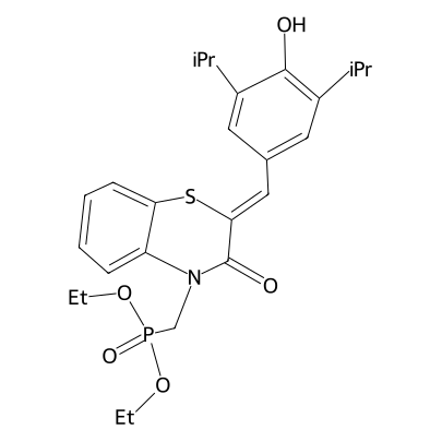 CCOP(=O)(CN1C(=O)C(=Cc2cc(C(C)C)c(O)c(C(C)C)c2)Sc2ccccc21)OCC